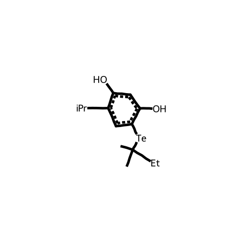 CCC(C)(C)[Te]c1cc(C(C)C)c(O)cc1O